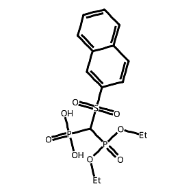 CCOP(=O)(OCC)C(P(=O)(O)O)S(=O)(=O)c1ccc2ccccc2c1